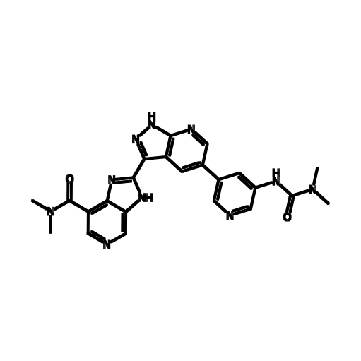 CN(C)C(=O)Nc1cncc(-c2cnc3[nH]nc(-c4nc5c(C(=O)N(C)C)cncc5[nH]4)c3c2)c1